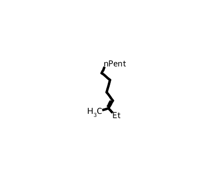 CCCCCCCC/C=C(\C)CC